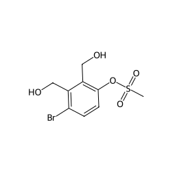 CS(=O)(=O)Oc1ccc(Br)c(CO)c1CO